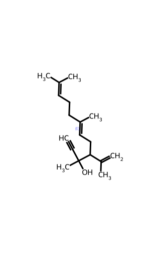 C#CC(C)(O)C(C/C=C(\C)CCC=C(C)C)C(=C)C